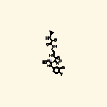 O=C(NCCNc1nonc1/C(=N/O)Nc1ccc(F)c(Br)c1)C(=O)NC1CC1